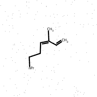 C=[C]C(C)=CCCCCC